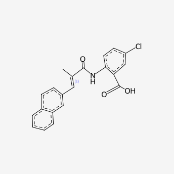 C/C(=C\c1ccc2ccccc2c1)C(=O)Nc1ccc(Cl)cc1C(=O)O